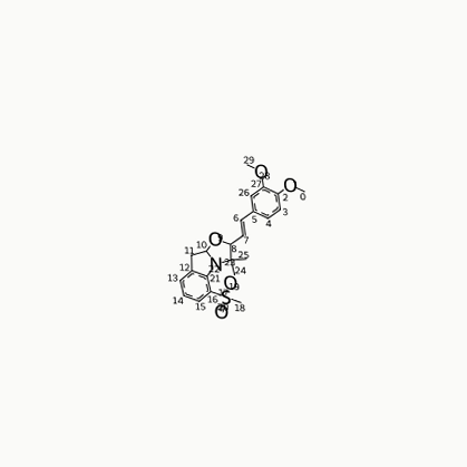 COc1ccc(C=CC2OC3Cc4cccc(S(C)(=O)=O)c4N3C2(C)C)cc1OC